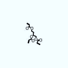 C=CC(=O)OCCC(COC(=O)C=C)OC(=O)C=C